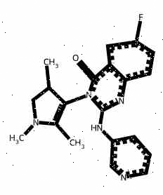 CC1=C(n2c(Nc3cccnc3)nc3ccc(F)cc3c2=O)C(C)CN1C